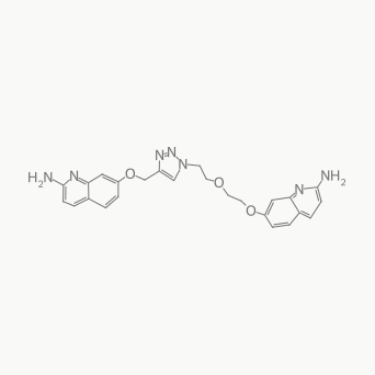 Nc1ccc2ccc(OCCOCCn3cc(COc4ccc5ccc(N)nc5c4)nn3)cc2n1